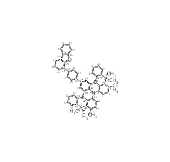 Cc1ccc2c3c1C(C)(C)c1ccccc1B3c1cc(-c3ccc(-c4cccc5c4oc4ccccc45)cc3)cc3c1N2c1ccc(C)c2c1B3c1ccccc1C2(C)C